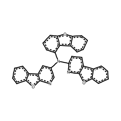 c1ccc2c(c1)oc1ncc(N(c3ccc4c(n3)oc3ccccc34)c3cccc4oc5ccccc5c34)cc12